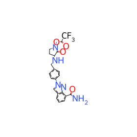 NC(=O)c1cccc2cn(-c3ccc(CNC4CCN(OC(=O)C(F)(F)F)C4=O)cc3)nc12